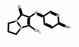 Cc1c(/N=C2\C=CC(=N)N=C2)c(=O)n2n1CCC2